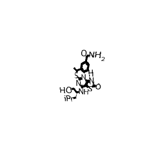 CC(C)C[C@H](CO)Nc1nc(SC(C)c2cccc(C(N)=O)c2)nc2[nH]c(=O)sc12